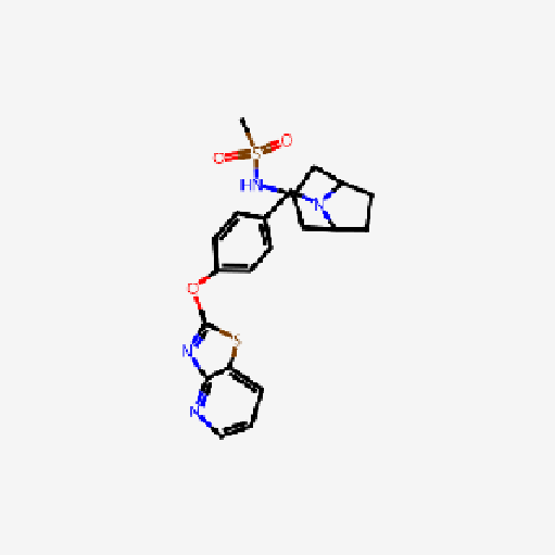 CS(=O)(=O)NC1CC2CCC(C1)N2Cc1ccc(Oc2nc3ncccc3s2)cc1